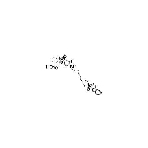 O=C(O)C1CCCC(NS(=O)(=O)c2ccc(N3CCC(CCCCC4CCN(S(=O)(=O)c5cc6ccccc6s5)CC4)CC3)c(Cl)c2)C1